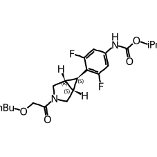 CCCCOCC(=O)N1C[C@@H]2[C@H](C1)[C@H]2c1c(F)cc(NC(=O)OC(C)C)cc1F